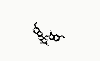 CCc1cc2oc([C@]3(CN4Cc5ccc(OC)cc5C4=O)NC(=O)NC3=O)cc2cn1